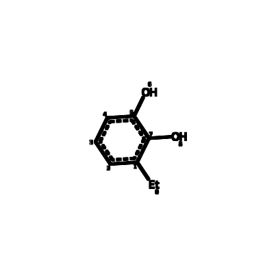 CCc1cccc(O)c1O